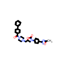 Cc1nc(-c2ccc(N3CC(CN4CCN(C(=O)c5ccc(-c6ccccc6)cc5)CC4)OC3=O)cc2)no1